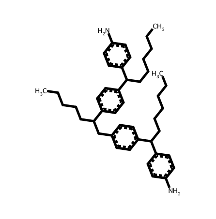 CCCCCCC(c1ccc(N)cc1)c1ccc(CC(CCCCC)c2ccc(C(CCCCCC)c3ccc(N)cc3)cc2)cc1